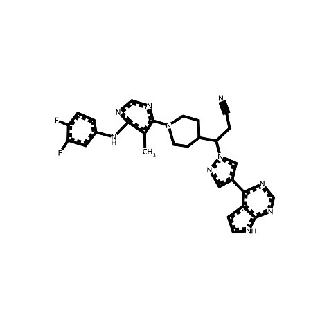 Cc1c(Nc2ccc(F)c(F)c2)ncnc1N1CCC(C(CC#N)n2cc(-c3ncnc4[nH]ccc34)cn2)CC1